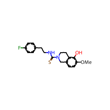 COc1ccc2c(c1O)CCN(C(=S)NCCc1ccc(F)cc1)C2